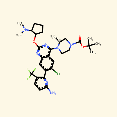 C[C@H]1CN(C(=O)OC(C)(C)C)CCN1c1nc(OC2CCCC2N(C)C)nc2cc(-c3nc(N)ccc3C(F)(F)F)c(Cl)cc12